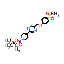 CC(C)(C)OC(=O)N1CC=C(c2cnc(COc3ccc(S(C)(=O)=O)cc3)cn2)CC1